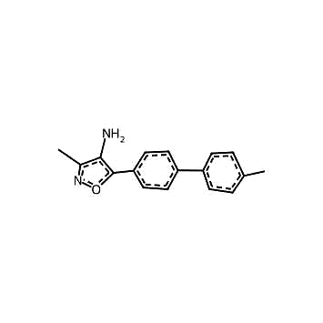 Cc1ccc(-c2ccc(-c3onc(C)c3N)cc2)cc1